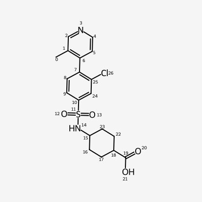 Cc1cnccc1-c1ccc(S(=O)(=O)NC2CCC(C(=O)O)CC2)cc1Cl